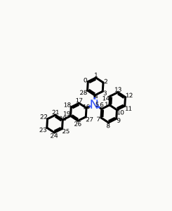 C1=CCCC(N(c2cccc3ccccc23)C2C=CC(C3=CCCC=C3)=CC2)=C1